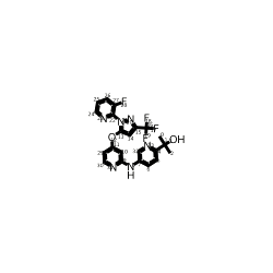 CC(C)(O)c1ccc(Nc2cc(Oc3cc(C(F)(F)F)nn3-c3ncccc3F)ccn2)cn1